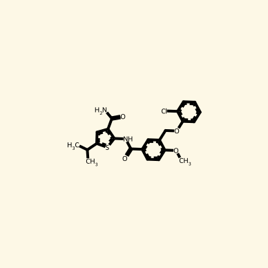 COc1ccc(C(=O)Nc2sc(C(C)C)cc2C(N)=O)cc1COc1ccccc1Cl